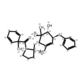 CC(=O)[C@]1(C[C@H]2C(C)=C[C@H](Sc3ccccc3)[C@@H](O)C2(C)C)CCCN1C(=O)C1(C)C=CCC=C1